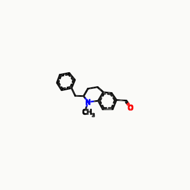 CN1c2ccc(C=O)cc2CCC1Cc1ccccc1